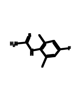 Cc1cc(F)cc(C)c1NC(N)=S